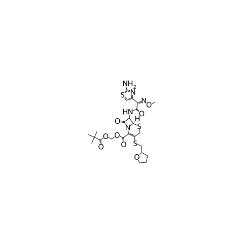 CO/N=C(\C(=O)NC1C(=O)N2C(C(=O)OCOC(=O)C(C)(C)C)=C(SCC3CCCO3)CS[C@H]12)c1csc(N)n1